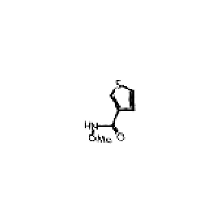 CONC(=O)c1ccsc1